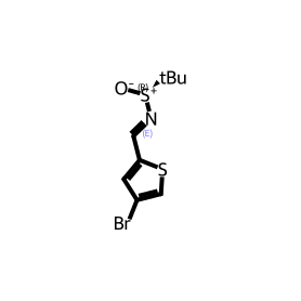 CC(C)(C)[S@+]([O-])/N=C/c1cc(Br)cs1